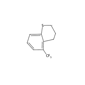 FC(F)(F)c1cccc2c1CC[CH]S2